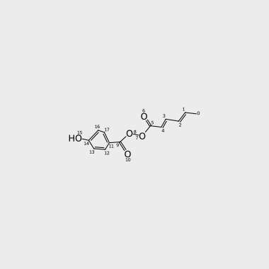 C/C=C/C=C/C(=O)OOC(=O)c1ccc(O)cc1